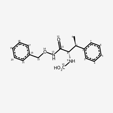 C[C@@H](c1ccccc1)[C@H](NC(=O)O)C(=O)NOCc1ccccc1